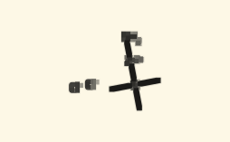 C[Si](C)(C)[Zr+2][NH2].[Cl-].[Cl-]